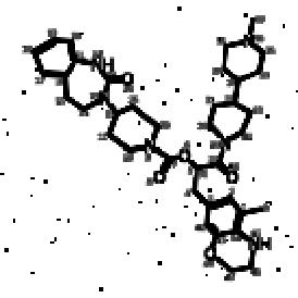 Cc1cc(C[C@@H](OC(=O)N2CCC(N3CCc4ccccc4NC3=O)CC2)C(=O)N2CCC(C3CCN(C)CC3)CC2)cc2c1NCCO2